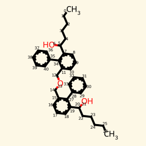 CCCCCC(O)c1cccc(COCc2cccc(C(O)CCCCC)c2-c2ccccc2)c1-c1ccccc1